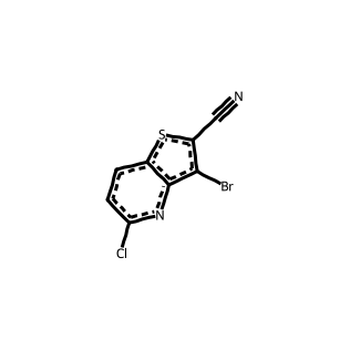 N#Cc1sc2ccc(Cl)nc2c1Br